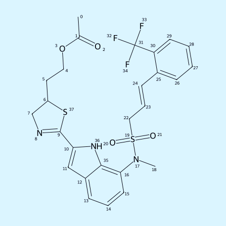 CC(=O)OCCC1CN=C(c2cc3cccc(N(C)S(=O)(=O)CC=Cc4ccccc4C(F)(F)F)c3[nH]2)S1